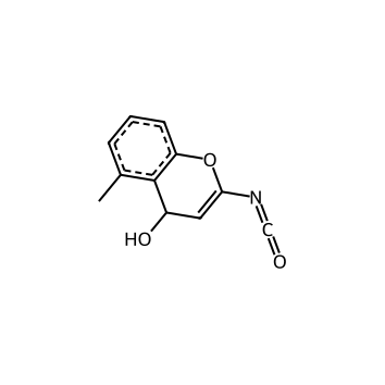 Cc1cccc2c1C(O)C=C(N=C=O)O2